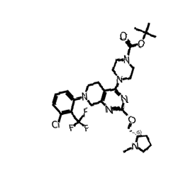 CN1CCC[C@H]1COc1nc2c(c(N3CCN(C(=O)OC(C)(C)C)CC3)n1)CCN(c1cccc(Cl)c1C(F)(F)F)C2